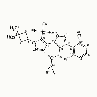 CC1(O)CC(n2ncc(-c3onc(-c4c(F)cccc4Cl)c3COC3CC3)c2C(F)(F)F)C1